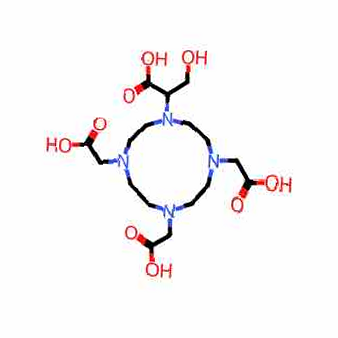 O=C(O)CN1CCN(CC(=O)O)CCN(C(CO)C(=O)O)CCN(CC(=O)O)CC1